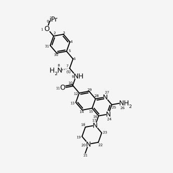 CC(C)Oc1ccc(C[C@@H](N)NC(=O)c2ccc3c(N4CCN(C)CC4)nc(N)nc3c2)cc1